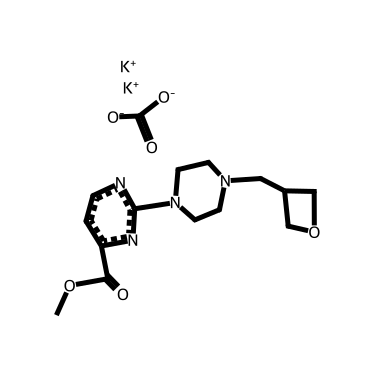 COC(=O)c1ccnc(N2CCN(CC3COC3)CC2)n1.O=C([O-])[O-].[K+].[K+]